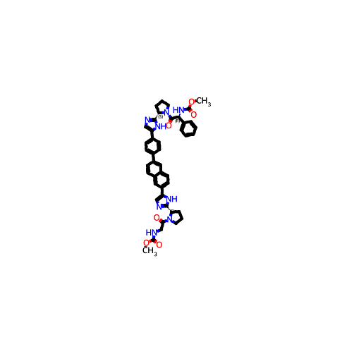 COC(=O)NCC(=O)N1CCC[C@H]1c1ncc(-c2ccc3cc(-c4ccc(-c5cnc([C@@H]6CCCN6C(=O)[C@H](NC(=O)OC)c6ccccc6)[nH]5)cc4)ccc3c2)[nH]1